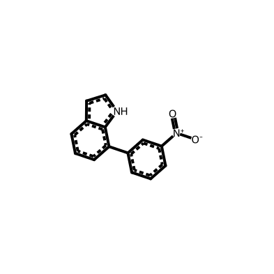 O=[N+]([O-])c1cccc(-c2cccc3cc[nH]c23)c1